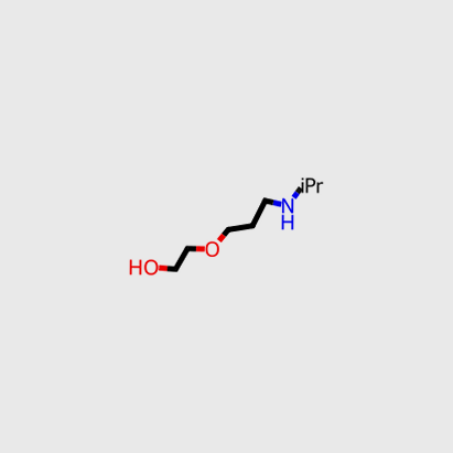 CC(C)NCCCOCCO